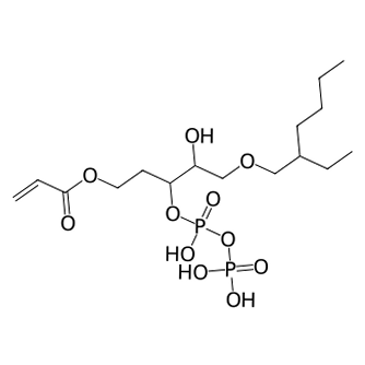 C=CC(=O)OCCC(OP(=O)(O)OP(=O)(O)O)C(O)COCC(CC)CCCC